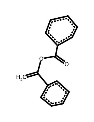 C=C(OC(=O)c1ccccc1)c1ccccc1